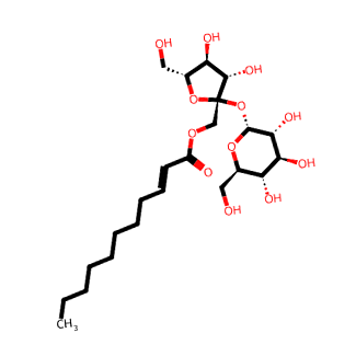 CCCCCCCCC=CC(=O)OC[C@@]1(O[C@H]2O[C@H](CO)[C@@H](O)[C@H](O)[C@H]2O)O[C@H](CO)[C@@H](O)[C@@H]1O